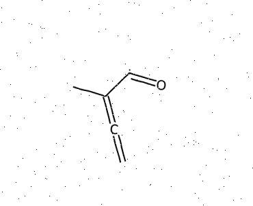 C=C=C(C)[C]=O